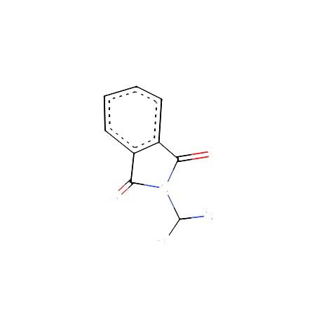 CCC(N)N1C(=O)c2ccccc2C1=O